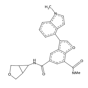 CNC(=O)c1cc(C(=O)NC2C3COCC32)cc2c(-c3cccc4c3ccn4C)coc12